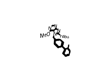 CCCCc1nc2ncnc(OC)c2n1Cc1ccc(-c2ccccc2C)cc1